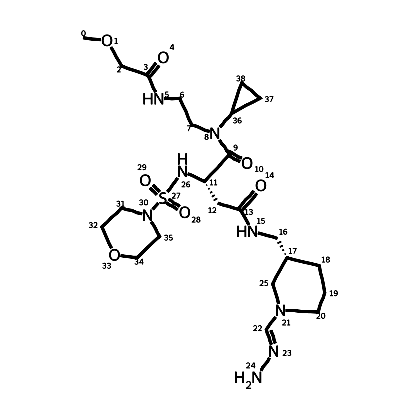 COCC(=O)NCCN(C(=O)[C@H](CC(=O)NC[C@@H]1CCCN(C=NN)C1)NS(=O)(=O)N1CCOCC1)C1CC1